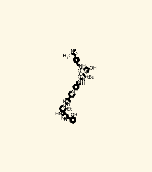 CC[C@H]1c2c([nH]c3nnc(-c4ccccc4O)cc23)CCN1c1ncc(C2CCN(C3CCC4(CC3)CN(C(=O)N[C@H](C(=O)N3C[C@H](O)C[C@H]3C(=O)NCc3ccc(-c5scnc5C)cc3)C(C)(C)C)C4)CC2)cn1